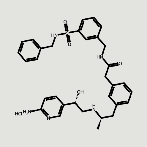 C[C@H](Cc1cccc(CC(=O)NCc2cccc(S(=O)(=O)NCc3ccccc3)c2)c1)NC[C@@H](O)c1ccc(N)nc1.Cl